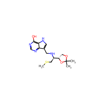 CSC[C@@H](NCc1c[nH]c2c(O)ncnc12)[C@@H]1COC(C)(C)O1